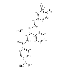 CCN(CC)c1ccc(C(=O)NCC(COCc2ccc(C(F)(F)F)c(C(F)(F)F)c2)c2ccccc2)cc1.Cl